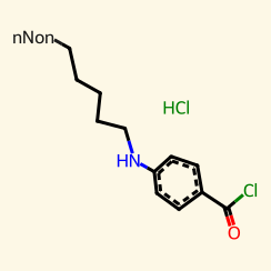 CCCCCCCCCCCCCCNc1ccc(C(=O)Cl)cc1.Cl